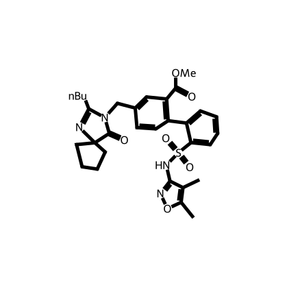 CCCCC1=NC2(CCCC2)C(=O)N1Cc1ccc(-c2ccccc2S(=O)(=O)Nc2noc(C)c2C)c(C(=O)OC)c1